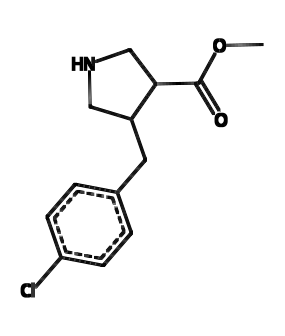 COC(=O)C1CNCC1Cc1ccc(Cl)cc1